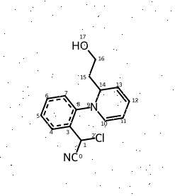 N#CC(Cl)c1ccccc1N1C=CC=CC1CCO